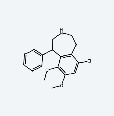 COc1cc(Cl)c2c(c1OC)C(c1ccccc1)CNCC2